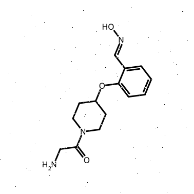 NCC(=O)N1CCC(Oc2ccccc2C=NO)CC1